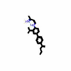 C=C(CCC)c1ccc(-c2ccc(N/C=C\C(C)=N)c(C(C)C)c2)cc1